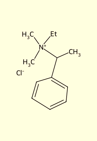 CC[N+](C)(C)C(C)c1ccccc1.[Cl-]